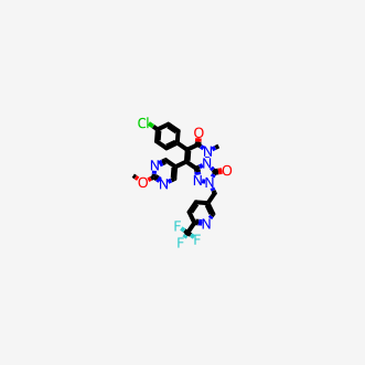 COc1ncc(-c2c(-c3ccc(Cl)cc3)c(=O)n(C)n3c(=O)n(Cc4ccc(C(F)(F)F)nc4)nc23)cn1